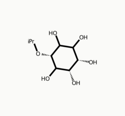 CC(C)O[C@@H]1C(O)C(O)[C@H](O)[C@H](O)C1O